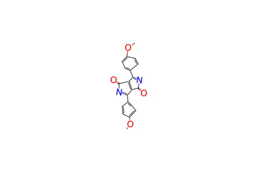 COc1ccc(-c2nc(=O)c3c(-c4ccc(OC)cc4)nc(=O)c2=3)cc1